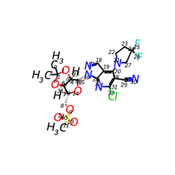 CC1(C)O[C@@H]2[C@H](O1)[C@@H](COS(C)(=O)=O)O[C@H]2n1ncc2c(N3CCC(F)(F)C3)c(C#N)c(Cl)nc21